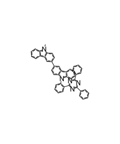 Cn1c2ccccc2c2cc(-c3ccc4c(c3)c3ccccc3n4-c3ccccc3-c3nc(-c4ccccc4)nc(-c4ccccc4)n3)ccc21